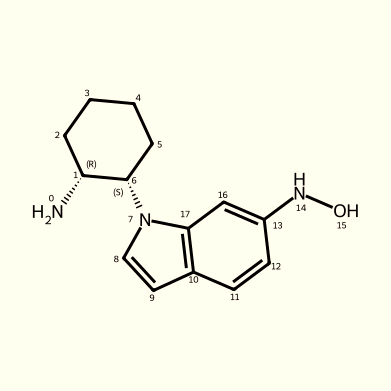 N[C@@H]1CCCC[C@@H]1n1ccc2ccc(NO)cc21